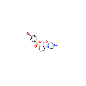 O=Cc1c(N2CCNCC2)cccc1S(=O)(=O)c1ccc(Br)cc1